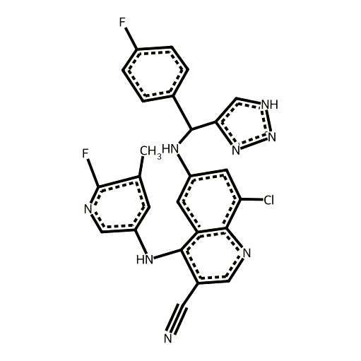 Cc1cc(Nc2c(C#N)cnc3c(Cl)cc(NC(c4ccc(F)cc4)c4c[nH]nn4)cc23)cnc1F